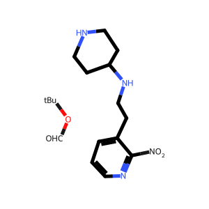 CC(C)(C)OC=O.O=[N+]([O-])c1ncccc1CCNC1CCNCC1